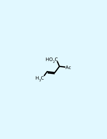 CC=CC(C(C)=O)C(=O)O